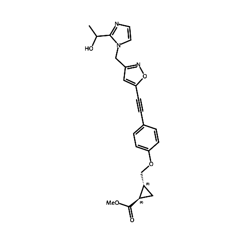 COC(=O)[C@@H]1C[C@H]1COc1ccc(C#Cc2cc(Cn3ccnc3C(C)O)no2)cc1